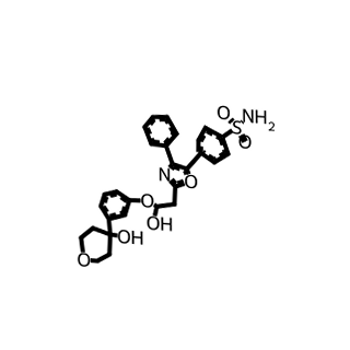 NS(=O)(=O)c1ccc(-c2oc(CC(O)Oc3cccc(C4(O)CCOCC4)c3)nc2-c2ccccc2)cc1